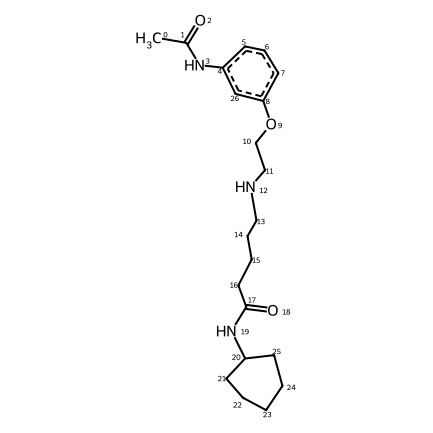 CC(=O)Nc1cccc(OCCNCCCCC(=O)NC2CCCCC2)c1